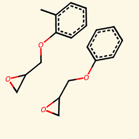 Cc1ccccc1OCC1CO1.c1ccc(OCC2CO2)cc1